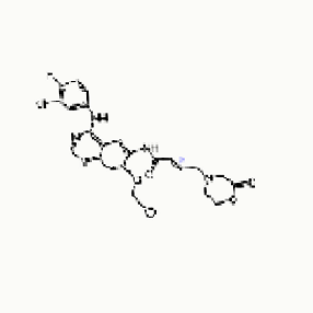 O=C(/C=C/CN1CCOC(=O)C1)Nc1cc2c(Nc3ccc(F)c(Cl)c3)ncnc2cc1OCC1CC1